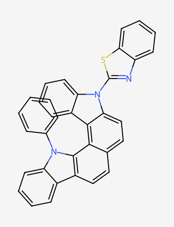 c1ccc(-n2c3ccccc3c3ccc4ccc5c(c6ccccc6n5-c5nc6ccccc6s5)c4c32)cc1